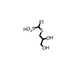 CCC(SCC(O)CO)S(=O)(=O)O